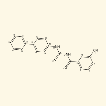 N#Cc1cccc(C(=O)NC(=S)Nc2ccc(-c3ccccc3)cc2)c1